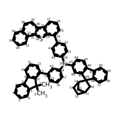 CC1(C)c2ccccc2-c2cccc(-c3cccc(N(c4ccc(-c5cccc6c5sc5c7ccccc7ccc65)cc4)c4ccc5c(c4)C4(CC6CCC4C6)c4ccccc4-5)c3)c21